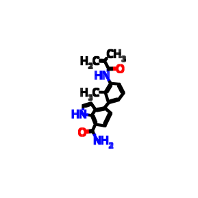 C=C(C)C(=O)Nc1cccc(-c2ccc(C(N)=O)c3[nH]ccc23)c1C